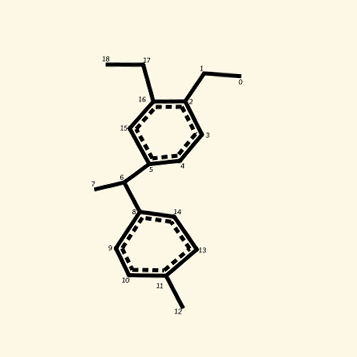 CCc1ccc(C(C)c2ccc(C)cc2)cc1CC